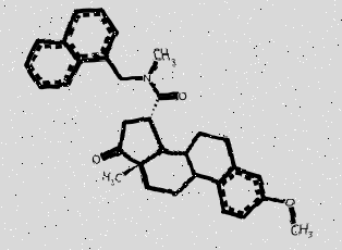 COc1ccc2c(c1)CCC1C2CC[C@]2(C)C(=O)C[C@H](C(=O)N(C)Cc3cccc4ccccc34)C12